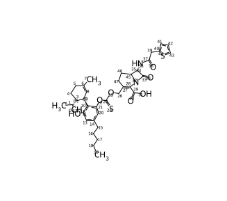 C=C(C)[C@@H]1CCC(C)=C[C@H]1c1c(O)cc(CCCCC)cc1OC(=S)OCC1=C(C(=O)O)N2C(=O)[C@@H](NC(=O)Cc3cccs3)C2CC1